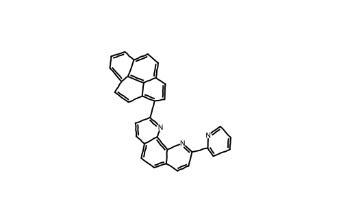 c1ccc(-c2ccc3ccc4ccc(-c5ccc6ccc7cccc8ccc5c6c78)nc4c3n2)nc1